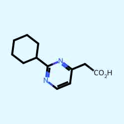 O=C(O)Cc1ccnc(C2CCCCC2)n1